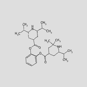 CC(C)C1CC(C(=O)Oc2ccccc2OC(=O)C2CC(C(C)C)NC(C)(C)C2)CC(C(C)C)N1